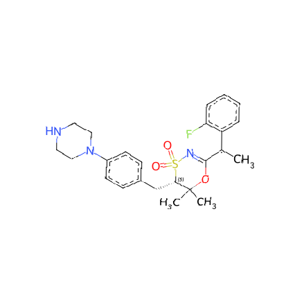 C[C](C1=NS(=O)(=O)[C@@H](Cc2ccc(N3CCNCC3)cc2)C(C)(C)O1)c1ccccc1F